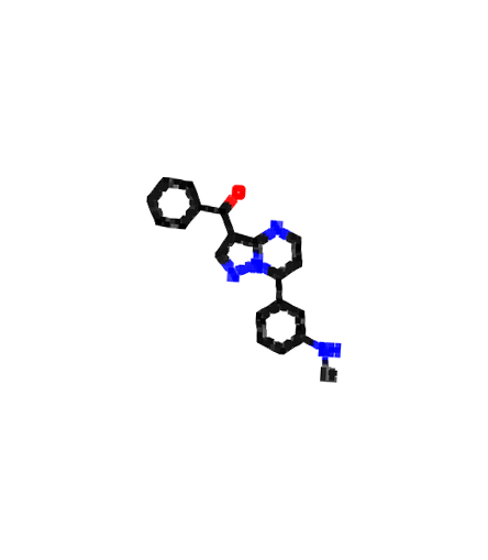 CCNc1cccc(-c2ccnc3c(C(=O)c4ccccc4)cnn23)c1